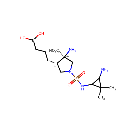 CC1(C)C(N)C1NS(=O)(=O)N1C[C@H](CCCB(O)O)[C@](N)(C(=O)O)C1